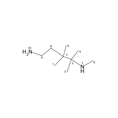 CNC(C)(C)C(C)(C)CCN